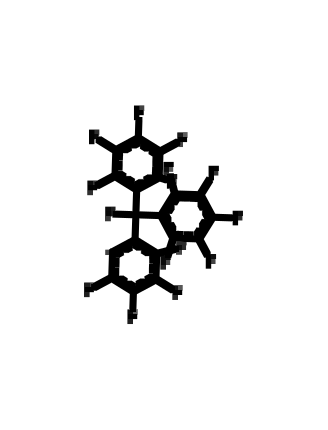 Fc1[c]c(C(F)(c2c(F)c(F)c(F)c(F)c2F)c2c(F)c(F)c(F)c(F)c2F)c(F)c(F)c1F